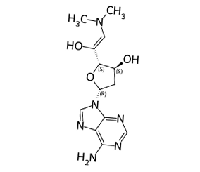 CN(C)C=C(O)[C@H]1O[C@@H](n2cnc3c(N)ncnc32)C[C@@H]1O